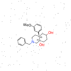 COc1cccc([C@]23CCN(Cc4ccccc4)C[C@]2(O)CCC(O)C3)c1